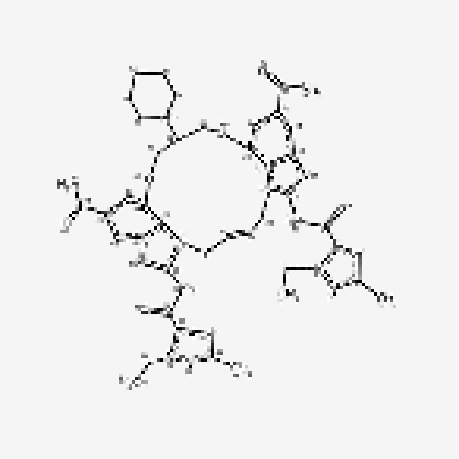 CCn1nc(C)cc1C(=O)Nc1nc2cc(C(N)=O)cc3c2n1C/C=C/Cn1c(NC(=O)c2cc(C)nn2CC)nc2cc(C(N)=O)cc(c21)OCC(N1CCCCC1)CO3